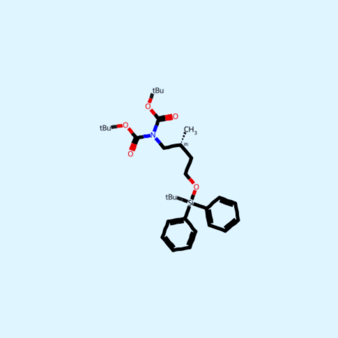 C[C@H](CCO[Si](c1ccccc1)(c1ccccc1)C(C)(C)C)CN(C(=O)OC(C)(C)C)C(=O)OC(C)(C)C